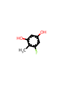 Cc1c(O)cc(O)cc1F